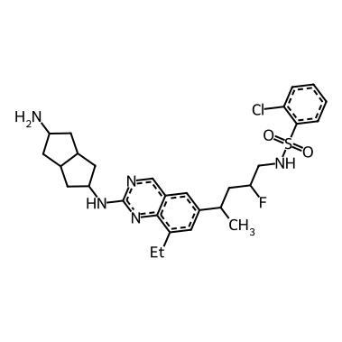 CCc1cc(C(C)CC(F)CNS(=O)(=O)c2ccccc2Cl)cc2cnc(NC3CC4CC(N)CC4C3)nc12